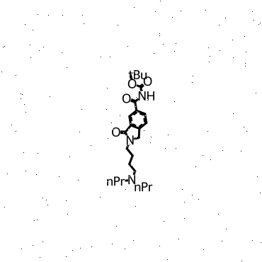 CCCN(CCC)CCCCN1Cc2ccc(C(=O)NC(=O)OC(C)(C)C)cc2C1=O